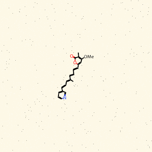 COc1cc(/C=C/C=C/C(C)=C/C=C/c2cccnc2)oc(=O)c1C